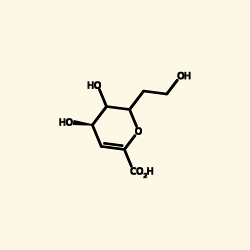 O=C(O)C1=C[C@@H](O)C(O)C(CCO)O1